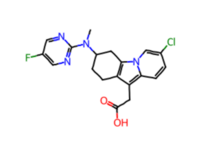 CN(c1ncc(F)cn1)C1CCc2c(CC(=O)O)c3ccc(Cl)cn3c2C1